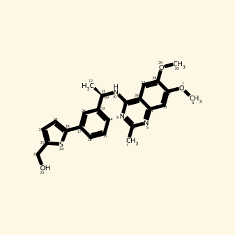 COc1cc2nc(C)nc(N[C@H](C)c3cccc(-c4ccc(CO)s4)c3)c2cc1OC